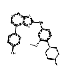 COc1cc(Nc2nc3cncc(-c4ccc(O)cc4)n3n2)ccc1N1CCN(C)CC1